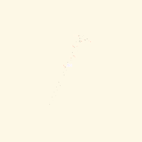 CCCCCCCCCCCCCCCC(=O)NCCOC(=O)CCC(=O)OC[C@H]1O[C@H](CO)C[C@@H]1O